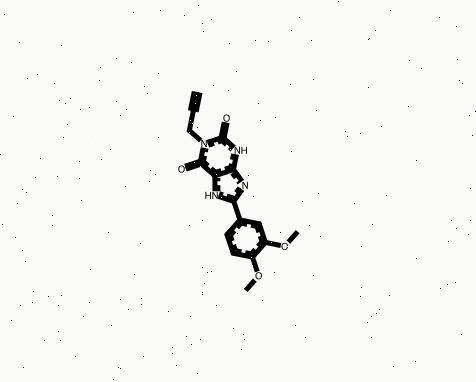 C#CCn1c(=O)[nH]c2nc(-c3ccc(OC)c(OC)c3)[nH]c2c1=O